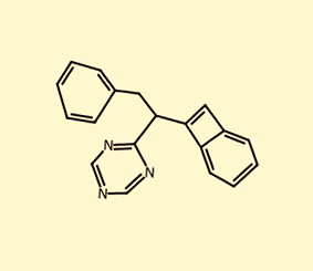 C1=C(C(Cc2ccccc2)c2ncncn2)c2ccccc21